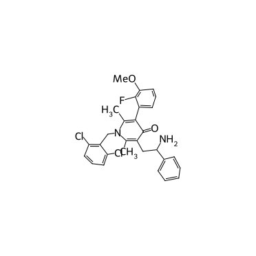 COc1cccc(-c2c(C)n(Cc3c(Cl)cccc3Cl)c(C)c(CC(N)c3ccccc3)c2=O)c1F